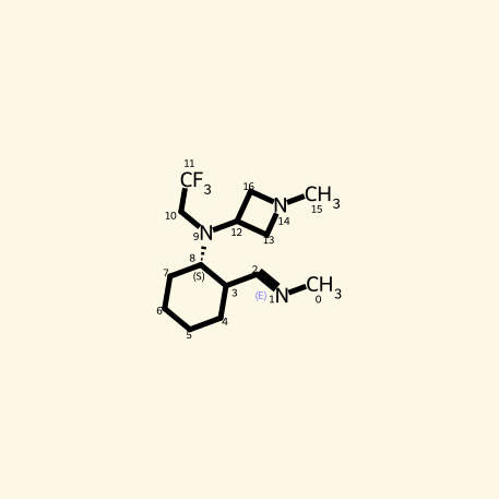 C/N=C/C1CCCC[C@@H]1N(CC(F)(F)F)C1CN(C)C1